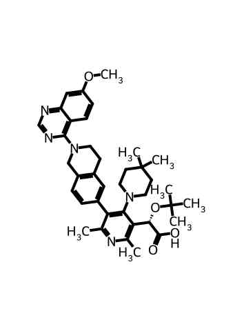 COc1ccc2c(N3CCc4cc(-c5c(C)nc(C)c([C@H](OC(C)(C)C)C(=O)O)c5N5CCC(C)(C)CC5)ccc4C3)ncnc2c1